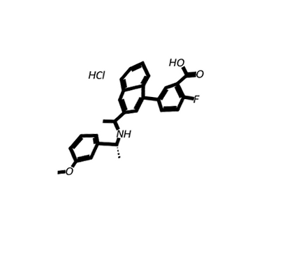 COc1cccc([C@@H](C)NC(C)c2cc(-c3ccc(F)c(C(=O)O)c3)c3ccccc3c2)c1.Cl